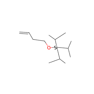 C=CCCO[Si](C(C)C)(C(C)C)C(C)C